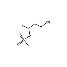 CC(CCC#N)OS(C)(=O)=O